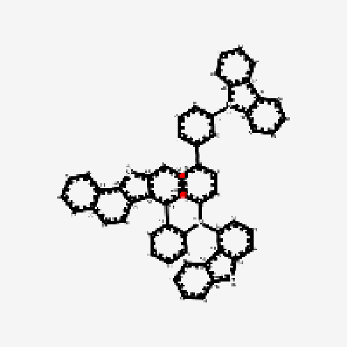 c1cc(-c2ccc(N(c3ccccc3-c3cccc4oc5c6ccccc6ccc5c34)c3cccc4sc5ccccc5c34)cc2)cc(-n2c3ccccc3c3ccccc32)c1